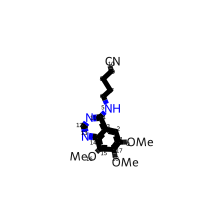 COc1cc2c(NCCCCC#N)ncnc2c(OC)c1OC